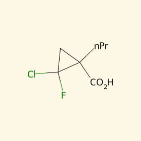 CCCC1(C(=O)O)CC1(F)Cl